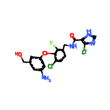 Nc1cc(CO)cc(Oc2c(Cl)ccc(CNC(=O)c3[nH]cnc3Cl)c2F)c1